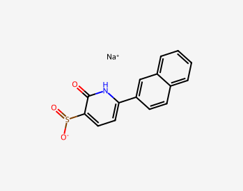 O=c1[nH]c(-c2ccc3ccccc3c2)ccc1S(=O)[O-].[Na+]